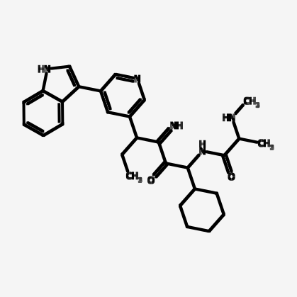 CCC(C(=N)C(=O)C(NC(=O)C(C)NC)C1CCCCC1)c1cncc(-c2c[nH]c3ccccc23)c1